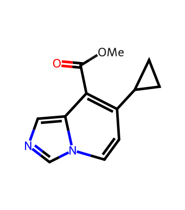 COC(=O)c1c(C2CC2)ccn2cncc12